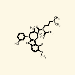 COc1ccc2[nH]c3c(c2c1F)C[C@@](C)(C(=O)N(CCCN(C)C)C(C)=O)C(C)=C[C@@H]3c1cccc(O)c1